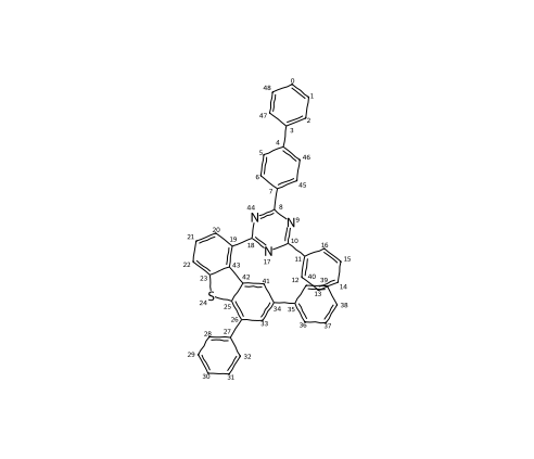 c1ccc(-c2ccc(-c3nc(-c4ccccc4)nc(-c4cccc5sc6c(-c7ccccc7)cc(-c7ccccc7)cc6c45)n3)cc2)cc1